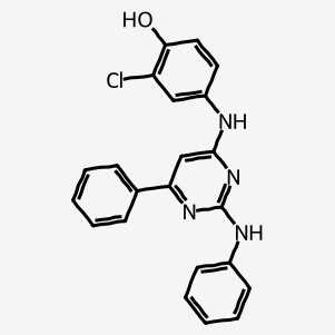 Oc1ccc(Nc2cc(-c3ccccc3)nc(Nc3ccccc3)n2)cc1Cl